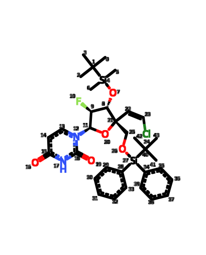 CC(C)(C)[Si](C)(C)O[C@H]1[C@H](F)[C@H](n2ccc(=O)[nH]c2=O)O[C@]1(/C=C\Cl)CO[Si](c1ccccc1)(c1ccccc1)C(C)(C)C